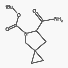 CC(C)(C)OC(=O)N1CC2(CC2)CC1C(N)=O